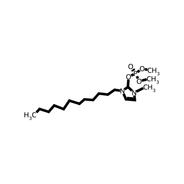 CCCCCCCCCCCCN1C=CN(C)C1OP(=O)(OC)OC